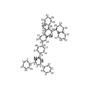 c1ccc(-c2cc(-c3ccccc3)nc(-c3ccc(-c4ccc5c(c4)nc(-c4cccc6ccccc46)c4c6ccccc6sc54)cc3)n2)cc1